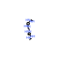 CC(C)NC(=N)c1ccc2[nH]c(/C=C/c3nc4cc(C(=N)NC(C)C)ccc4[nH]3)nc2c1